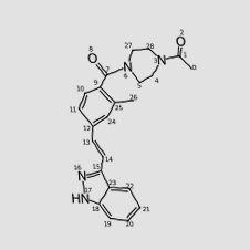 CC(=O)N1CCN(C(=O)c2ccc(C=Cc3n[nH]c4ccccc34)cc2C)CC1